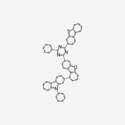 c1ccc(-c2nc(-c3ccc4c(c3)oc3cccc(-c5ccc6c7ccccc7n(-c7ccccc7)c6c5)c34)nc(-c3ccc4c(c3)sc3ccccc34)n2)cc1